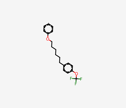 FC(F)(F)Oc1ccc(CCCCCCOc2cc[c]cc2)cc1